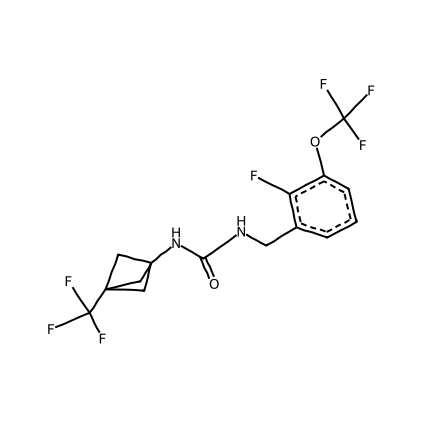 O=C(NCc1cccc(OC(F)(F)F)c1F)NC12CC(C(F)(F)F)(C1)C2